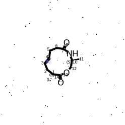 C[C@@H]1C/C=C/CCC(=O)N[C@@H](C)COC1=O